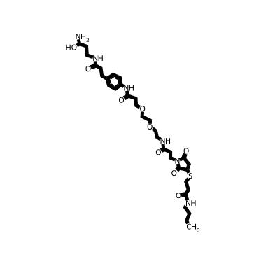 CCCCNC(=O)CCSC1CC(=O)N(CCC(=O)NCCOCCOCCC(=O)Nc2ccc(CCC(=O)NCCC(N)O)cc2)C1=O